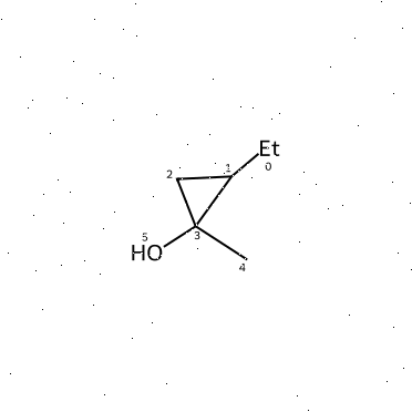 CCC1CC1(C)O